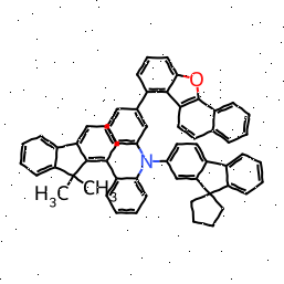 CC1(C)c2ccccc2-c2cccc(-c3ccccc3N(c3cccc(-c4cccc5oc6c7ccccc7ccc6c45)c3)c3ccc4c(c3)C3(CCCC3)c3ccccc3-4)c21